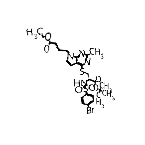 CCOC(=O)CCCn1ccc2c(SC[C@H](NS(=O)(=O)c3ccc(Br)cc3)C(=O)OC(C)(C)C)nc(C)nc21